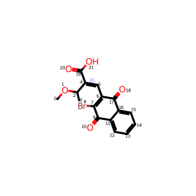 COC(C)/C(=C\C1=C(Br)C(=O)c2ccccc2C1=O)C(=O)O